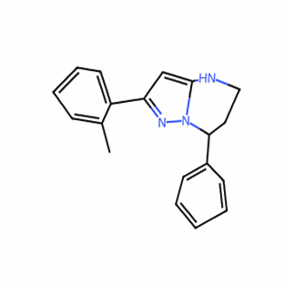 Cc1ccccc1-c1cc2n(n1)C(c1ccccc1)CCN2